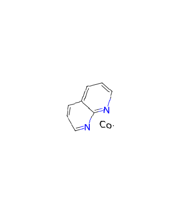 [Co].c1cnc2ncccc2c1